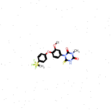 C=S(F)(F)(F)c1ccc(Oc2ccc(-n3c(=S)[nH]c(=O)n(C)c3=O)cc2OCC)cc1